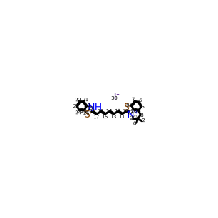 CC1(C)Cc2cccc3sc(C=CC=CC=CC=C4Nc5ccccc5S4)[n+](c23)C1.[I-]